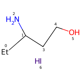 CCC(N)CCO.I